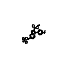 CCOC(=O)c1cc2cc(COS(C)(=O)=O)ccn2c1-c1ccc(F)cc1